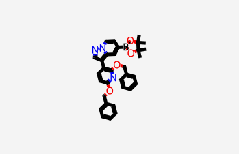 CC1(C)OB(c2ccn3ncc(-c4ccc(OCc5ccccc5)nc4OCc4ccccc4)c3c2)OC1(C)C